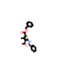 CC(=O)c1c(NCc2ccccc2)sc(C(=O)OCc2ccccc2)c1C